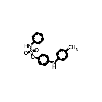 Cc1ccc(Nc2ccc(OS(=O)(=O)Nc3ccccc3)cc2)cc1